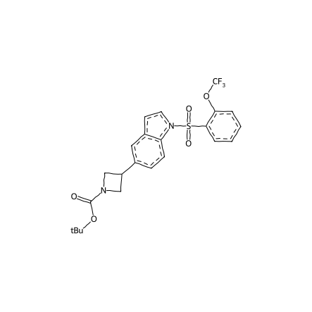 CC(C)(C)OC(=O)N1CC(c2ccc3c(ccn3S(=O)(=O)c3ccccc3OC(F)(F)F)c2)C1